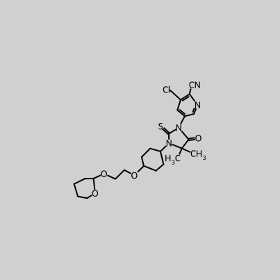 CC1(C)C(=O)N(c2cnc(C#N)c(Cl)c2)C(=S)N1C1CCC(OCCOC2CCCCO2)CC1